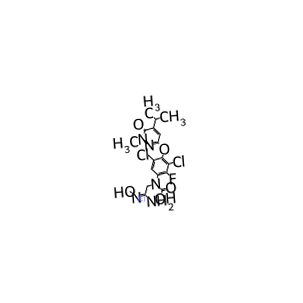 CC(C)c1cc(Oc2c(Cl)cc(N(C/C(N)=N\O)C(=O)O)c(F)c2Cl)nn(C)c1=O